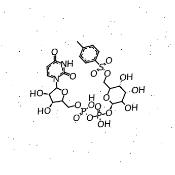 Cc1ccc(S(=O)(=O)OCC2O[C@H](OP(=O)(O)OP(=O)(O)OCC3OC(n4ccc(=O)[nH]c4=O)[C@H](O)[C@@H]3O)C(O)[C@@H](O)[C@H]2O)cc1